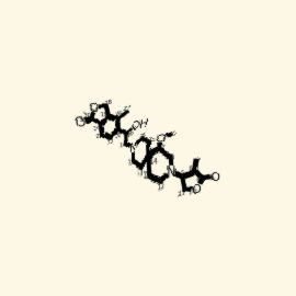 COC1CN(C2=C(C)C(=O)OC2)CCC12CCN(C[C@H](O)c1ccc3c(c1C)COC3=O)CC2